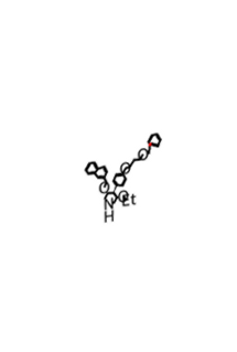 CCO[C@@H]1CNC[C@H](OCc2ccc3ccccc3c2)[C@H]1c1ccc(OCCCOCc2ccccc2)cc1